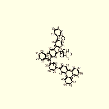 CC1(C)c2cc3oc4ccccc4c3cc2-c2cc3c4ccccc4n(-c4cccc(-c5ccc6c7ccccc7c7ccccc7c6c5)n4)c3cc21